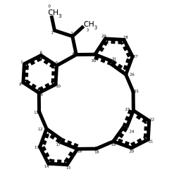 CCC(C)C1c2cccc(c2)Cc2cccc(c2)Cc2cccc(c2)Cc2cccc1c2